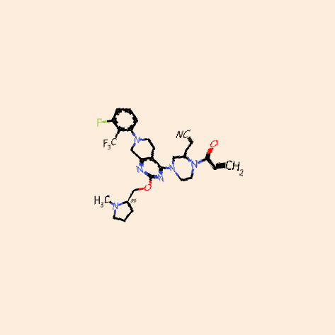 C=CC(=O)N1CCN(c2nc(OC[C@H]3CCCN3C)nc3c2CCN(c2cccc(F)c2C(F)(F)F)C3)CC1CC#N